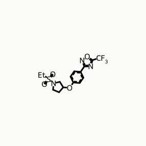 CCS(=O)(=O)N1CCC(Oc2ccc(-c3noc(C(F)(F)F)n3)cc2)C1